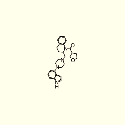 O=C(C1CCOC1)N1c2ccccc2CCC1CN1CCN(c2cccc3[nH]ccc23)CC1